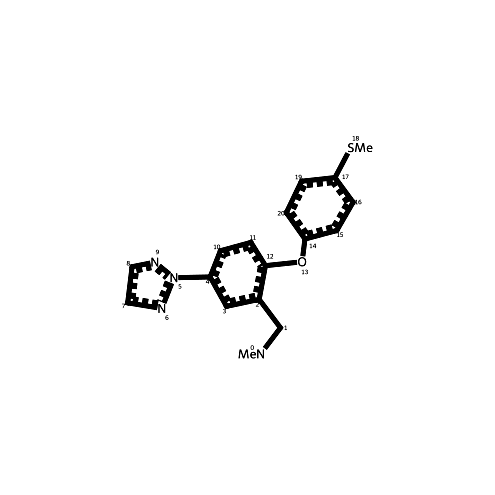 CNCc1cc(-n2nccn2)ccc1Oc1ccc(SC)cc1